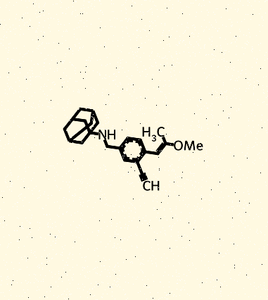 C#Cc1cc(CNC23CC4CC(CC(C4)C2)C3)ccc1/C=C(\C)OC